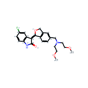 CCOCCN(CCOCC)Cc1ccc2c(c1)COC2=C1C(=O)Nc2ccc(F)cc21